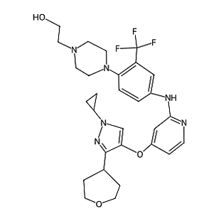 OCCN1CCN(c2ccc(Nc3cc(Oc4cn(C5CC5)nc4C4CCOCC4)ccn3)cc2C(F)(F)F)CC1